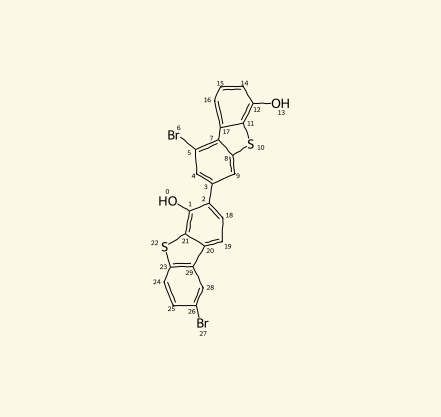 Oc1c(-c2cc(Br)c3c(c2)sc2c(O)cccc23)ccc2c1sc1ccc(Br)cc12